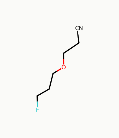 N#CCCOCCCF